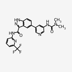 CN(C)C(=O)Nc1cncc(-c2ccc3[nH]nc(C(=O)Nc4cccc(C(F)(F)F)n4)c3c2)c1